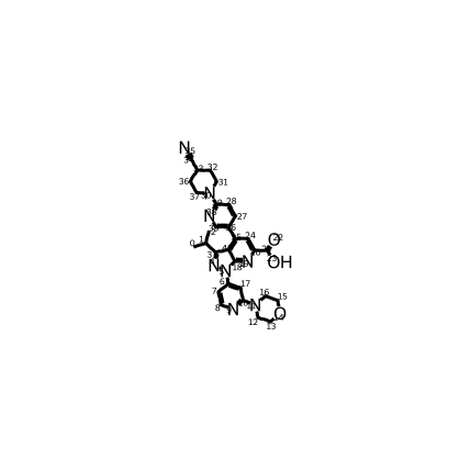 CC(C)c1nn(-c2ccnc(N3CCOCC3)c2)c2nc(C(=O)O)cc(-c3ccc(N4CCC(C#N)CC4)nc3)c12